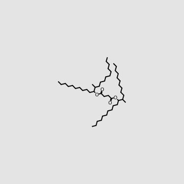 CCCCCCCCCCC(C)C(CCCCCCCCCC)OC(=O)CCC(=O)OC(CCCCCCCCCC)C(C)CCCCCCCCCC